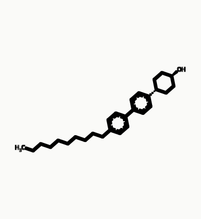 CCCCCCCCCCc1ccc(-c2ccc([C@H]3CC[C@H](O)CC3)cc2)cc1